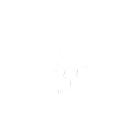 CCOP(C)(=O)c1cc(Br)cc(CO)n1